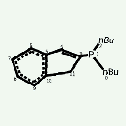 CCCCP(CCCC)C1=Cc2ccccc2[CH]1